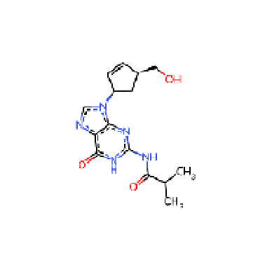 CC(C)C(=O)Nc1nc2c(ncn2[C@H]2C=C[C@@H](CO)C2)c(=O)[nH]1